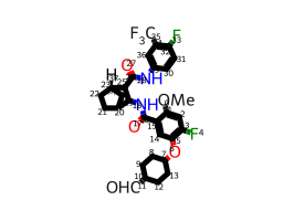 COc1cc(F)c(OC2CCC(C=O)CC2)cc1C(=O)NC1C2CC[C@@H](C2)C1C(=O)Nc1ccc(F)c(C(F)(F)F)c1